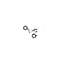 CCOC(=O)c1cc(-c2nnc(-c3cccc(C)c3)o2)n(-c2ccccc2C)n1